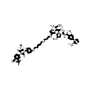 Cc1nccn1-c1ccc([C@H](C)NC(=O)[C@@H]2C[C@@H](O)CN2C(=O)[C@H](C(C)C)n2cc(OCCCOCCCCCOc3ccc(N4C(=S)N(c5ccc(C#N)c(C(F)(F)F)c5)C(=O)C4(C)C)cc3)cn2)cc1